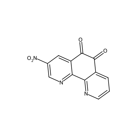 O=C1C(=O)c2cc([N+](=O)[O-])cnc2-c2ncccc21